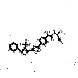 CC(C#N)NC(=O)C(O)c1ccc(-c2noc(-c3onc(-c4ccccc4)c3C(F)(F)F)n2)cc1